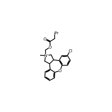 CC(C)CC(=O)OC[N+]1(C)CC2c3ccccc3Oc3ccc(Cl)cc3C2C1